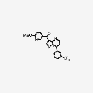 COc1ccc(C(=O)c2cnn3c(-c4cccc(C(F)(F)F)c4)ccnc23)cn1